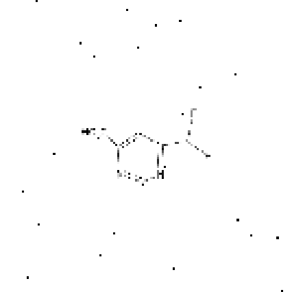 O=C(O)c1cc(C(F)F)ncn1